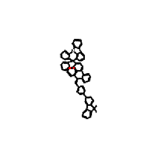 CC1(C)c2ccccc2-c2cc(-c3ccc(/C=C(/c4ccccc4)c4ccccc4-c4ccc5c(c4)-c4ccccc4C54c5ccccc5-n5c6ccccc6c6cccc4c65)cc3)ccc21